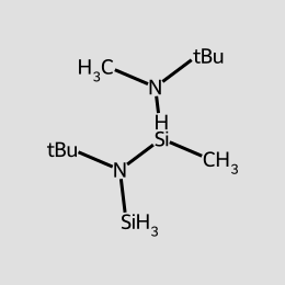 CN([SiH](C)N([SiH3])C(C)(C)C)C(C)(C)C